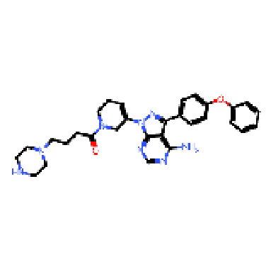 Nc1ncnc2c1c(-c1ccc(Oc3ccccc3)cc1)nn2C1=CCCN(C(=O)CCCN2CCNCC2)C1